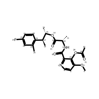 COc1ccnc(C(=O)N[C@@H](C)C(=O)O[C@@H](C)[C@@H](C)c2ccc(F)cc2C)c1OC(C)=O